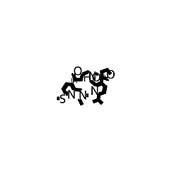 CCN(C)Cc1nc(SC)ccc1[C@@H]1COC(CN(C)Cc2nc(C(C)C)ccc2[C@@]2(O)CCOC2)C1